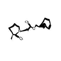 C[C@H]1CCCN(CC(=O)OCc2ccccc2)C1=O